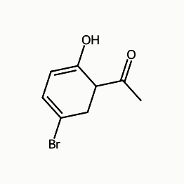 CC(=O)C1CC(Br)=CC=C1O